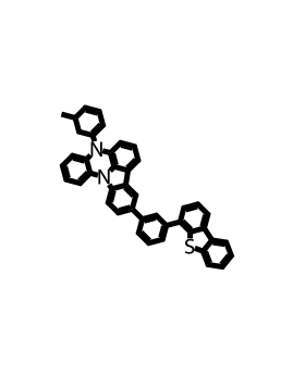 CC1C=CC=C(N2c3ccccc3-n3c4ccc(-c5cccc(-c6cccc7c6sc6ccccc67)c5)cc4c4cccc2c43)C1